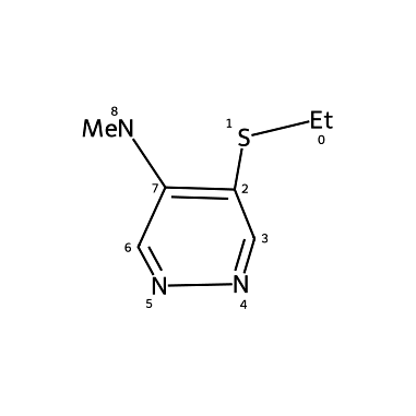 CCSc1cnncc1NC